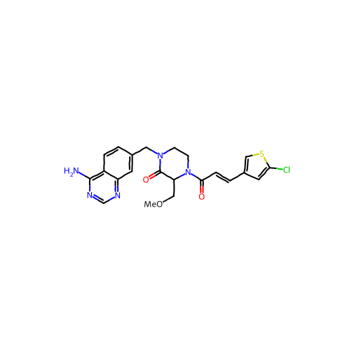 COCC1C(=O)N(Cc2ccc3c(N)ncnc3c2)CCN1C(=O)/C=C/c1csc(Cl)c1